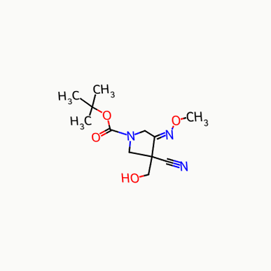 CON=C1CN(C(=O)OC(C)(C)C)CC1(C#N)CO